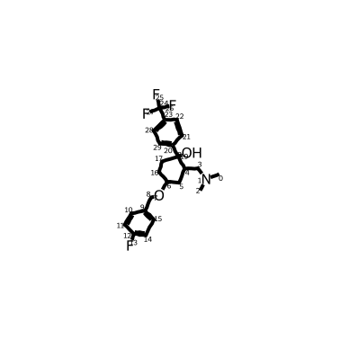 CN(C)CC1CC(OCc2ccc(F)cc2)CCC1(O)c1ccc(C(F)(F)F)cc1